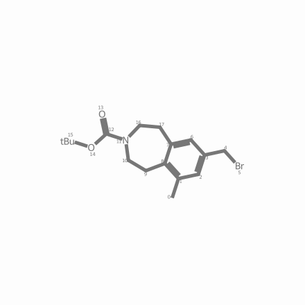 Cc1cc(CBr)cc2c1CCN(C(=O)OC(C)(C)C)CC2